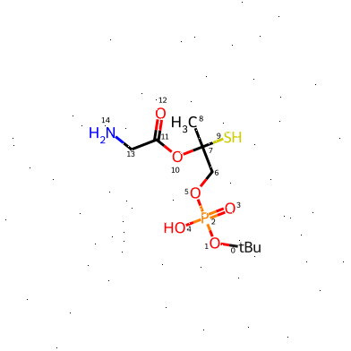 CC(C)(C)OP(=O)(O)OCC(C)(S)OC(=O)CN